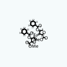 COC(=O)[C@@H]1OC[C@@H](OC(=O)c2ccccc2)[C@@H]1F.COC(=O)[C@@H]1OC[C@H](F)[C@H]1OC(=O)c1ccccc1